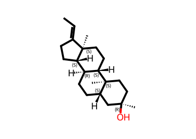 CC=C1CC[C@H]2[C@@H]3CC[C@H]4C[C@](C)(O)CC[C@]4(C)[C@H]3CC[C@]12C